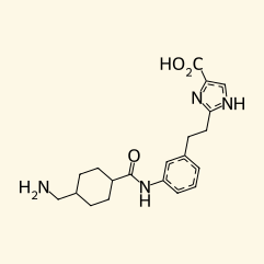 NCC1CCC(C(=O)Nc2cccc(CCc3nc(C(=O)O)c[nH]3)c2)CC1